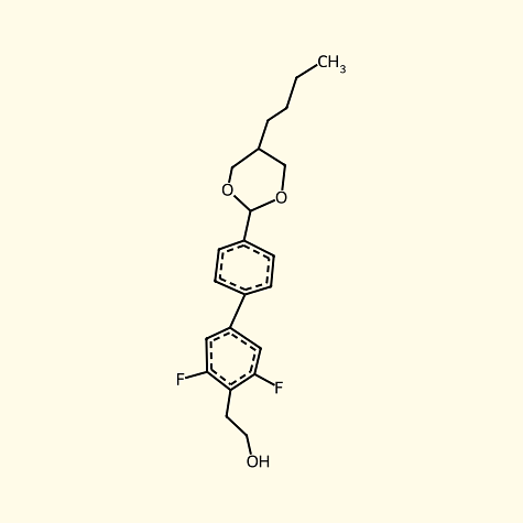 CCCCC1COC(c2ccc(-c3cc(F)c(CCO)c(F)c3)cc2)OC1